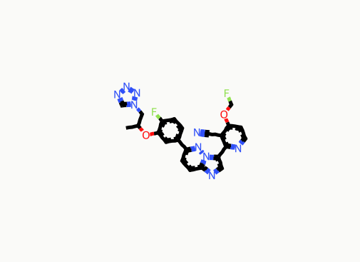 CC(Cn1cnnn1)Oc1cc(-c2ccc3ncc(-c4nccc(OCF)c4C#N)n3n2)ccc1F